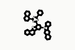 c1ccc(-c2nc(-c3cccc4ccccc34)nc(-c3cc(-n4c5ccccc5c5cc6ccccc6cc54)cc4c3oc3c5ccccc5ccc43)n2)cc1